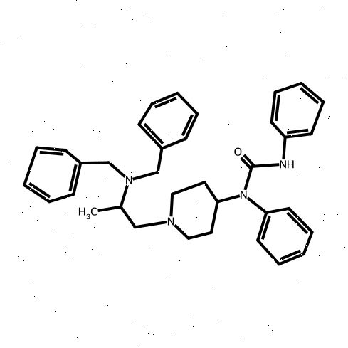 CC(CN1CCC(N(C(=O)Nc2ccccc2)c2ccccc2)CC1)N(Cc1ccccc1)Cc1ccccc1